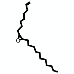 C=CCCCCCCC1OC1CCCCCCCCCCC